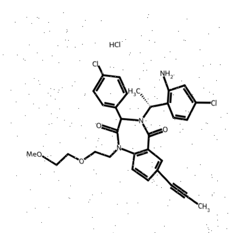 CC#Cc1ccc2c(c1)C(=O)N([C@H](C)c1ccc(Cl)cc1N)C(c1ccc(Cl)cc1)C(=O)N2CCOCCOC.Cl